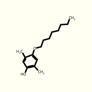 CCCCCCCCOc1cc(C)c(O)cc1C